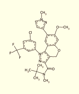 COc1cc2c(cc1-c1ccn(C)n1)-c1c(c(C(=O)N(C)C(C)(C)C)nn1-c1cc(Cl)cc(C(F)(F)F)c1)CO2